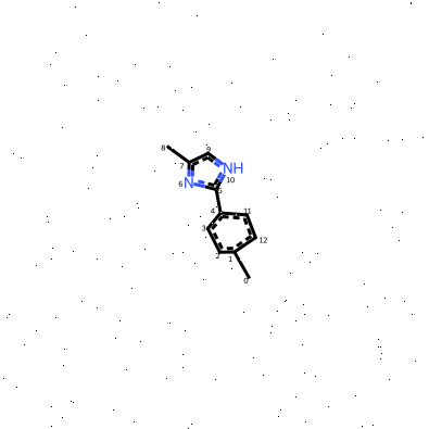 Cc1ccc(-c2nc(C)c[nH]2)cc1